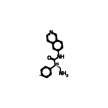 NC[C@@H](C(=O)Nc1ccc2cnccc2c1)c1cc[c]cc1